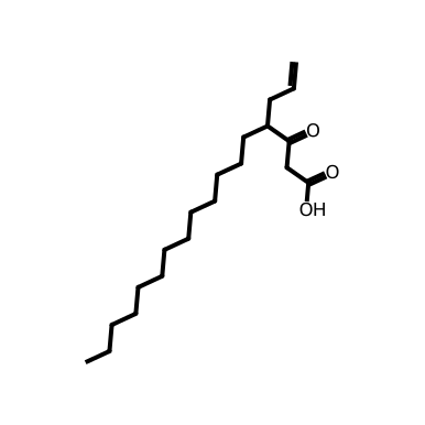 C=CCC(CCCCCCCCCCCCC)C(=O)CC(=O)O